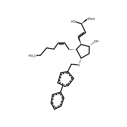 CCCCC[C@H](O)/C=C/[C@@H]1[C@@H](C/C=C\CCCC(=O)O)[C@@H](OCc2ccc(-c3ccccc3)cc2)C[C@H]1O